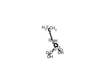 CC(C)/C=C/CCCCC(=O)NCc1ccc(OCC(=O)O)c(OCCOCC(=O)O)c1